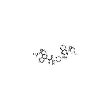 CN(C)c1nc(NC2CCC(NC(=S)Nc3ccc(N(C)C)c4ccccc34)CC2)nc2c1CCCC2